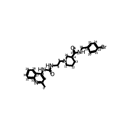 Cc1cc(NC(=O)NCCN2CCCC(C(=O)NCc3ccc(Br)cc3)C2)c2ccccc2n1